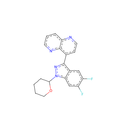 Fc1cc2c(-c3ccnc4cccnc34)nn(C3CCCCO3)c2cc1F